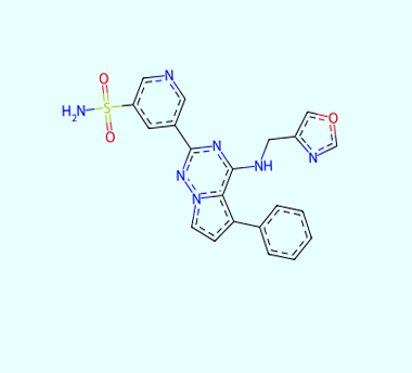 NS(=O)(=O)c1cncc(-c2nc(NCc3cocn3)c3c(-c4ccccc4)ccn3n2)c1